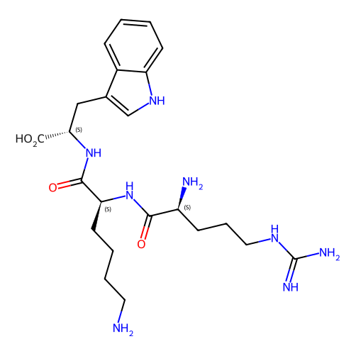 N=C(N)NCCC[C@H](N)C(=O)N[C@@H](CCCCN)C(=O)N[C@@H](Cc1c[nH]c2ccccc12)C(=O)O